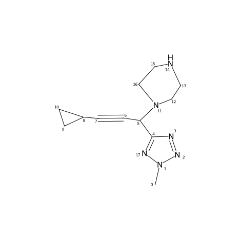 Cn1nnc(C(C#CC2CC2)N2CCNCC2)n1